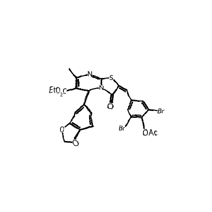 CCOC(=O)C1=C(C)N=c2sc(=Cc3cc(Br)c(OC(C)=O)c(Br)c3)c(=O)n2C1c1ccc2c(c1)OCO2